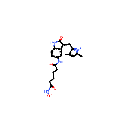 Cc1cc(C)c(C=C2C(=O)Nc3ccc(NC(=O)CCCCC(=O)NO)cc32)[nH]1